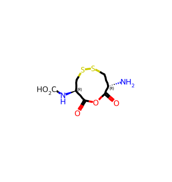 N[C@H]1CSSC[C@H](NC(=O)O)C(=O)OC1=O